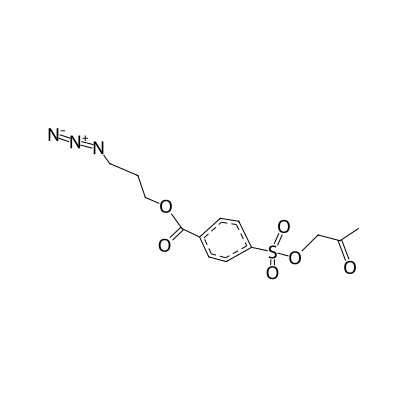 CC(=O)COS(=O)(=O)c1ccc(C(=O)OCCCN=[N+]=[N-])cc1